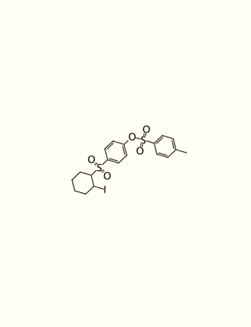 Cc1ccc(S(=O)(=O)Oc2ccc(S(=O)(=O)C3CCCCC3I)cc2)cc1